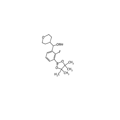 COC(c1cccc(B2OC(C)(C)C(C)(C)O2)c1F)C1CCOCC1